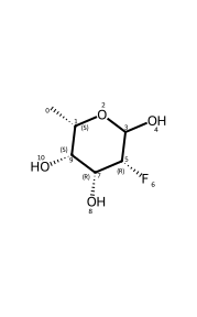 C[C@@H]1OC(O)[C@H](F)[C@H](O)[C@@H]1O